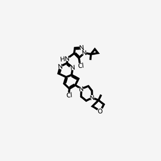 CC1(N2CCN(c3cc4nc(Nc5cnn(C6(C)CC6)c5Cl)ncc4cc3Cl)CC2)COC1